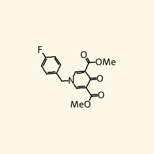 COC(=O)c1cn(Cc2ccc(F)cc2)cc(C(=O)OC)c1=O